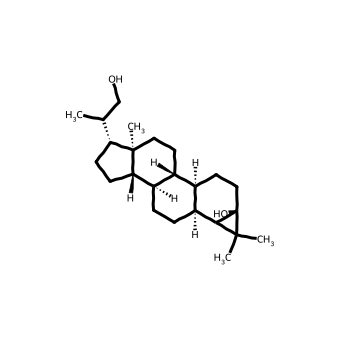 CC(CO)[C@H]1CC[C@H]2[C@@H]3CC[C@@H]4C5C(C)(C)[C@@]5(O)CC[C@@H]4[C@H]3CC[C@]12C